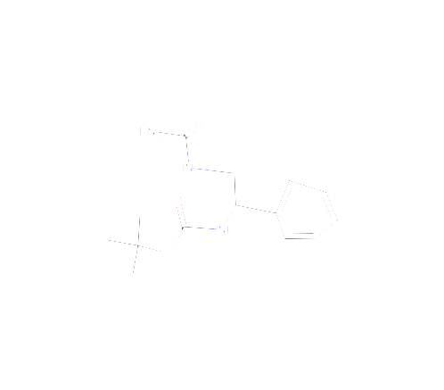 CC(C)(C)OC(=O)NC(CNC(N)=O)c1ccccc1